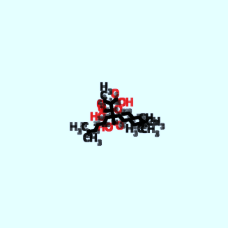 CC(=O)C(C(=O)O)C(OCCCCC(C)C)(C(=O)O)C(CCCCC(C)C)(CCCCC(C)C)C(=O)O